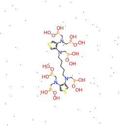 OOP(O)CN(CCCCCN(CP(O)OO)c1cscc1N(CP(O)OO)CP(O)OO)c1cscc1N(CP(O)OO)CP(O)OO